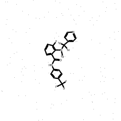 [3H]N(c1c(F)cccc1C(=O)Nc1ccc(C(F)(F)F)cc1)C([3H])([3H])c1ccncc1